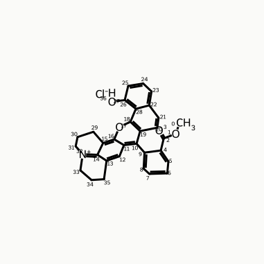 COC(=O)c1ccccc1C1=c2cc3c4c(c2Oc2c1ccc1cccc(O)c21)CCC[N+]=4CCC3.[Cl-]